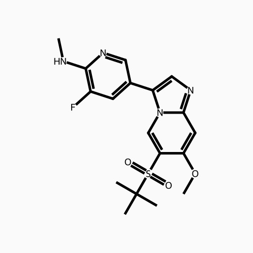 CNc1ncc(-c2cnc3cc(OC)c(S(=O)(=O)C(C)(C)C)cn23)cc1F